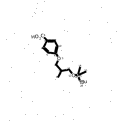 CC(COc1ccc(C(=O)O)cc1)CO[Si](C)(C)C(C)(C)C